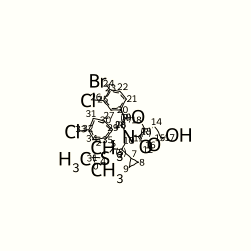 CC(C)(C)SC[C@H](C1CC1)N1C(=O)[C@@H](CC(=O)O)O[C@H](c2ccc(Br)c(Cl)c2)[C@H]1c1ccc(Cl)cc1